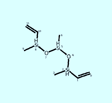 C=C[SiH](C)O[SiH](C)O[SiH](C)C=C